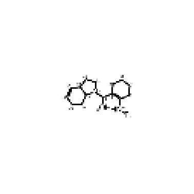 OC(C1=C(NF)CCCC1)N1CCC2C=CCCC21